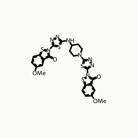 COc1ccc2sn(-c3nnc(NC4CCN(c5nnc(-n6sc7ccc(OC)cc7c6=O)s5)CC4)s3)c(=O)c2c1